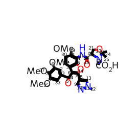 COc1cc(C(=O)c2c(-c3cnn(C)c3)oc3c(NC(=O)[C@@H]4COC(C)(C)N4C(=O)O)c(OC)ccc23)cc(OC)c1OC